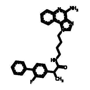 CC(C(=O)NCCCCn1cnc2c(N)nc3ccccc3c21)c1ccc(-c2ccccc2)c(F)c1